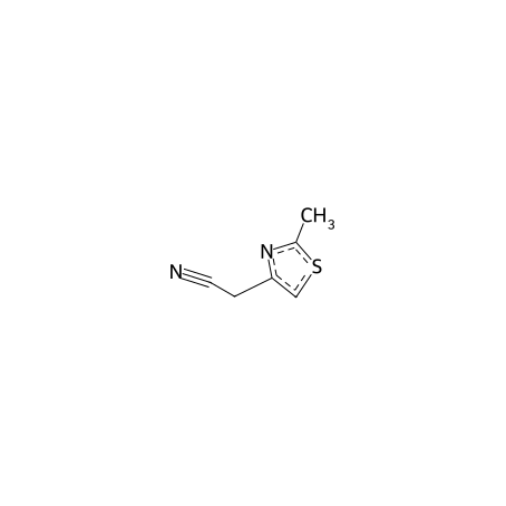 Cc1nc(CC#N)cs1